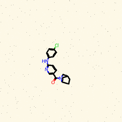 O=C(c1ccc(Nc2ccc(Cl)cc2)nc1)N1CC2CCC1C2